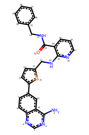 Nc1ncnc2ccc(-c3ccc(CNc4ncccc4C(=O)NCc4ccccc4)s3)cc12